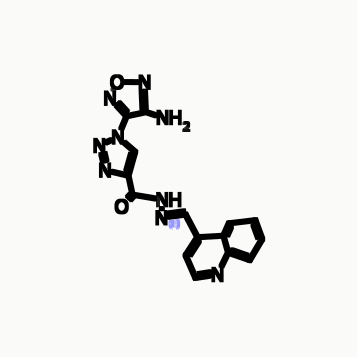 Nc1nonc1-n1cc(C(=O)N/N=C/c2ccnc3ccccc23)nn1